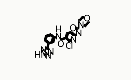 O=C(Nc1cccc(-c2nn[nH]n2)c1)c1cc2oc(N3CCOCC3)nc2nc1Cl